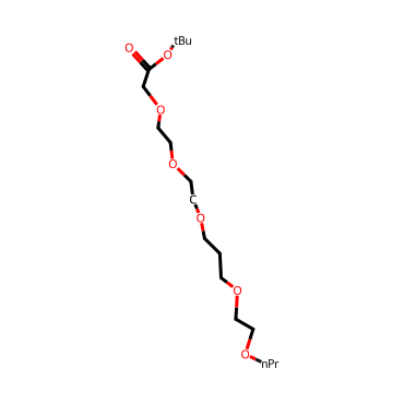 CCCOCCOCCCOCCOCCOCC(=O)OC(C)(C)C